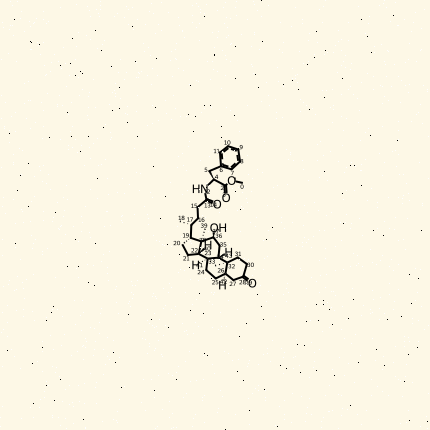 COC(=O)[C@H](Cc1ccccc1)NC(=O)CC[C@@H](C)[C@H]1CC[C@H]2[C@@H]3CC[C@@H]4CC(=O)CC[C@]4(C)[C@H]3C[C@H](O)[C@]12C